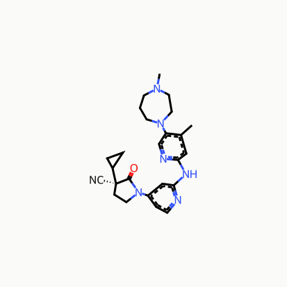 Cc1cc(Nc2cc(N3CC[C@@](C#N)(C4CC4)C3=O)ccn2)ncc1N1CCCN(C)CC1